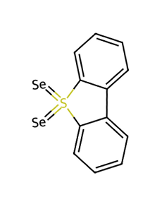 [Se]=S1(=[Se])c2ccccc2-c2ccccc21